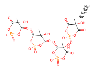 CC1(O)C(=O)OP(=O)([O-])OC1=O.CC1(O)C(=O)OP(=O)([O-])OC1=O.CC1(O)C(=O)OP(=O)([O-])OC1=O.CC1(O)C(=O)OP(=O)([O-])OC1=O.[Na+].[Na+].[Na+].[Na+]